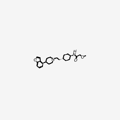 COCC(=O)N[C@H]1CC[C@H](CCN2CCC(c3cccc4occc34)CC2)CC1